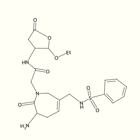 CCOC1OC(=O)CC1NC(=O)CN1CC(CNS(=O)(=O)c2ccccc2)=CCC(N)C1=O